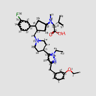 CCOc1cccc(Cc2cc(C3CCN(CC4CC(N(C)[C@@H](C(=O)O)C(C)C)CC4c4cccc(F)c4)CC3)n(CC)n2)c1